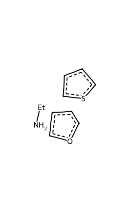 CCN.c1ccoc1.c1ccsc1